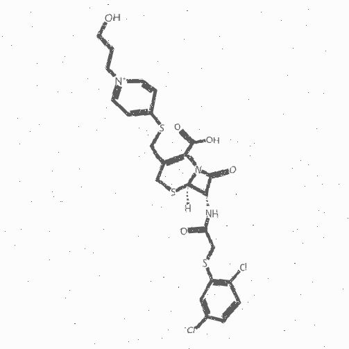 O=C(CSc1cc(Cl)ccc1Cl)N[C@H]1C(=O)N2C(C(=O)O)=C(CSc3cc[n+](CCCO)cc3)CS[C@H]12